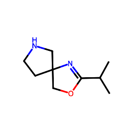 CC(C)C1=NC2(CCNC2)CO1